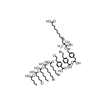 CC(C)(CBr)C(=O)O.O=C(O)CCCCCBr.O=C(O)CCCCCCBr.O=C(O)CCCCCCCBr.O=C(O)CCCCCI.O=C(O)CCCCCl.O=C(O)CCCI.O=C(O)Cc1ccc(CBr)cc1.O=C(O)c1ccc(CCBr)cc1.O=C(O)c1ccc(CCCl)cc1